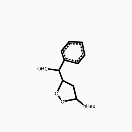 CCCCCCC1CC(C(C=O)c2ccccc2)OO1